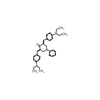 CCN(CC)c1ccc(C=C2CN(c3ccccc3)CC(=Cc3ccc(N(CC)CC)cc3)C2=O)cc1